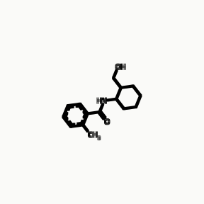 Cc1ccccc1C(=O)NC1CCCCC1CO